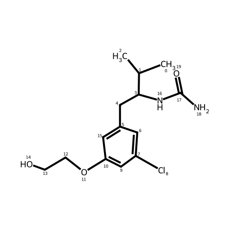 CC(C)C(Cc1cc(Cl)cc(OCCO)c1)NC(N)=O